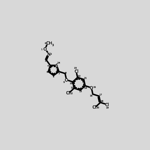 CON=Cc1ccc(COc2c(Cl)cc(OCC=C(Cl)Cl)cc2Cl)s1